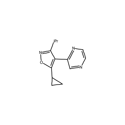 CC(C)c1noc(C2CC2)c1-c1cnccn1